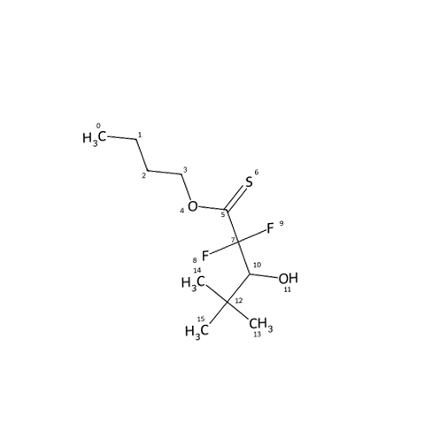 CCCCOC(=S)C(F)(F)C(O)C(C)(C)C